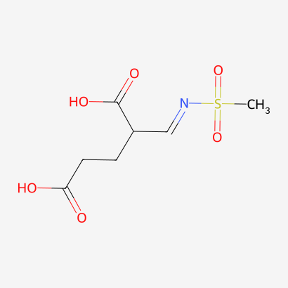 CS(=O)(=O)N=CC(CCC(=O)O)C(=O)O